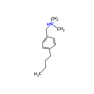 [CH2-][NH+](C)Cc1ccc(CCCC)cc1